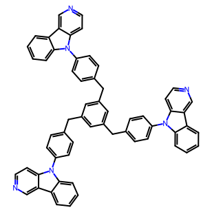 c1ccc2c(c1)c1cnccc1n2-c1ccc(Cc2cc(Cc3ccc(-n4c5ccccc5c5cnccc54)cc3)cc(Cc3ccc(-n4c5ccccc5c5cnccc54)cc3)c2)cc1